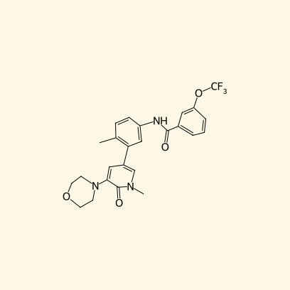 Cc1ccc(NC(=O)c2cccc(OC(F)(F)F)c2)cc1-c1cc(N2CCOCC2)c(=O)n(C)c1